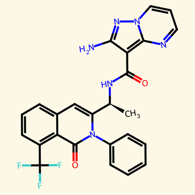 C[C@H](NC(=O)c1c(N)nn2cccnc12)c1cc2cccc(C(F)(F)F)c2c(=O)n1-c1ccccc1